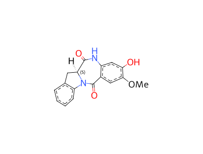 COc1cc2c(cc1O)NC(=O)[C@@H]1Cc3ccccc3N1C2=O